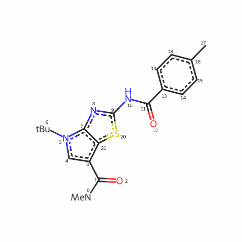 CNC(=O)c1cn(C(C)(C)C)c2nc(NC(=O)c3ccc(C)cc3)sc12